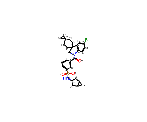 O=C(c1cccc(S(=O)(=O)NC2CC3CC3C2)c1)N1CC2(CCC3(CC3)CC2)c2cc(Br)ccc21